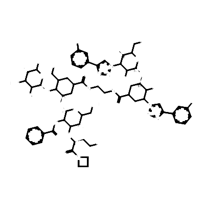 CCC[C@H](OC1C(OC(=O)c2ccccc2)[C@H](O[C@@H]2CC(C(=O)NCCNC(=O)C3CC(n4cc(-c5cccc(F)c5)nn4)C(O)[C@H](O[C@@H]4OC(CO)[C@H](O)C(n5cc(-c6cccc(F)c6)nn5)C4O)C3)CC(CC)C2O[C@@H]2OC(C)[C@@H](O)C(O)C2O)OC(CO)[C@@H]1O)C(=O)N1CCC1